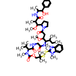 CCC(C)C(C(CC(=O)N1CCCC1C(OC)C(C)C(=O)NC(C)C(O)c1ccccc1)OC)N(C)C(=O)CNC(=O)C(C(C)C)N(C)C(=O)OCC(C)(C)SSc1nc2ccccc2n1C